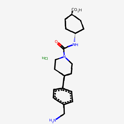 Cl.NCc1ccc(C2CCN(C(=O)N[C@H]3CC[C@H](C(=O)O)CC3)CC2)cc1